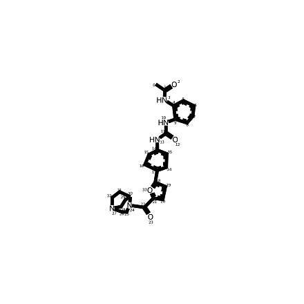 CC(=O)Nc1ccccc1NC(=O)Nc1ccc(-c2ccc(C(=O)N3CCN4CCC3CC4)o2)cc1